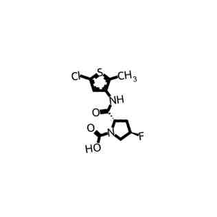 Cc1sc(Cl)cc1NC(=O)[C@@H]1C[C@@H](F)CN1C(=O)O